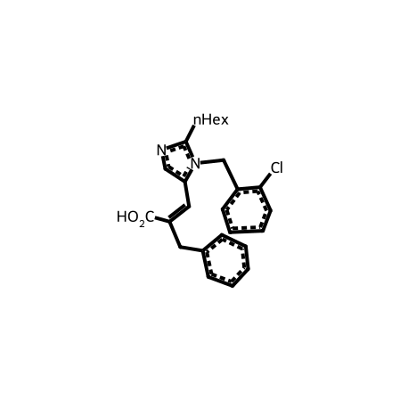 CCCCCCc1ncc(C=C(Cc2ccccc2)C(=O)O)n1Cc1ccccc1Cl